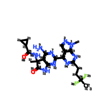 Cn1ncc2c(-c3nc(N)c4c(n3)NC(=O)C4(C)NC(=O)C3CC3)nc(CCC(F)(F)C(F)(F)F)nc21